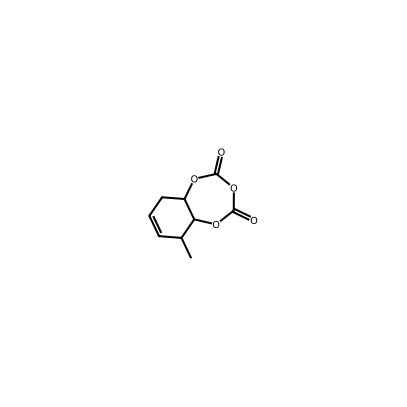 CC1C=CCC2OC(=O)OC(=O)OC12